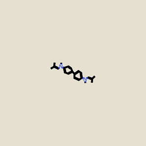 CC(C)=CN(C)c1ccc(-c2ccc(N(C)C=C(C)C)cc2)cc1